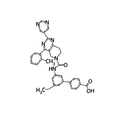 CCc1cc(NC(=O)N2CCc3nc(-c4cncnc4)nc(-c4ccccc4C)c3C2)cc(-c2ccc(C(=O)O)cc2)c1